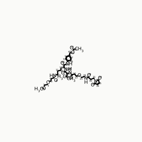 COCCOCCC(=O)NCCCC[C@@H](NC(=O)[C@@H](NC(=O)CCOCCNC(=O)CCN1C(=O)C=CC1=O)C(C)C)C(=O)Nc1ccc(COC(C)=O)cc1